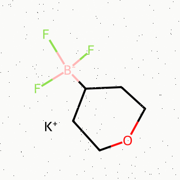 F[B-](F)(F)C1CCOCC1.[K+]